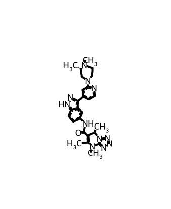 CC1=C(C(=O)Nc2ccc3[nH]nc(-c4ccnc(N5CCN(C)[C@@H](C)C5)c4)c3c2)C(C)n2nnnc2N1C